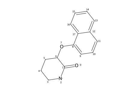 O=C1[N]CCCC1Oc1cccc2ccccc12